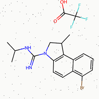 CC(C)NC(=N)N1CC(C)c2c1ccc1c(Br)cccc21.O=C(O)C(F)(F)F